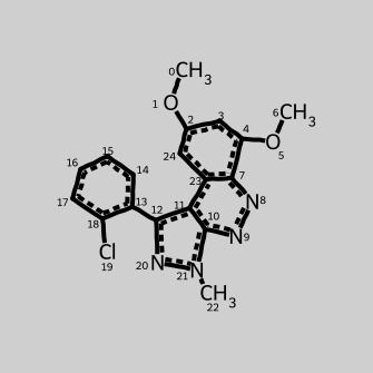 COc1cc(OC)c2nnc3c(c(-c4ccccc4Cl)nn3C)c2c1